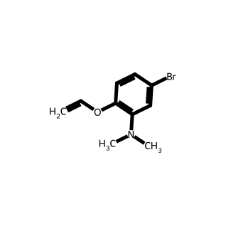 C=COc1ccc(Br)cc1N(C)C